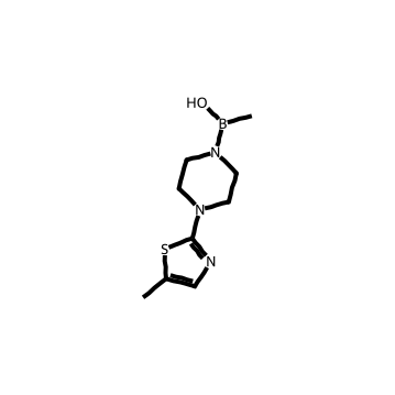 CB(O)N1CCN(c2ncc(C)s2)CC1